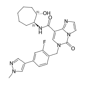 Cn1cc(-c2ccc(Cn3cc(C(=O)N[C@H]4CCCCC[C@@H]4O)c4nccn4c3=O)c(F)c2)cn1